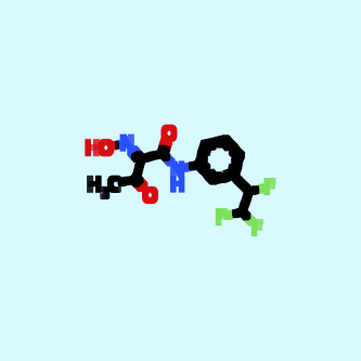 CC(=O)/C(=N\O)C(=O)Nc1cccc(C(F)C(F)F)c1